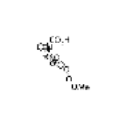 COCCOCCOc1ccc(S(=O)(=O)N2C[C@@H](C)[C@@H](n3nc(CC(=O)O)c4ccccc43)C2)cc1